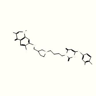 CCc1cc(Nc2cc(=O)n(CCCCN3CCC(CNc4cc5c(cc4F)c(=O)c(C(=O)O)cn5CC)C3)c(=O)[nH]2)ccc1C